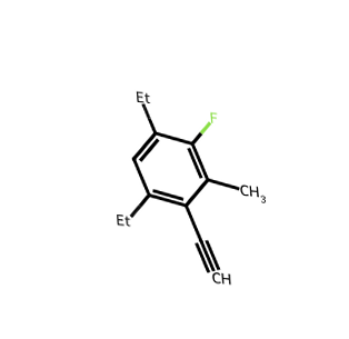 C#Cc1c(CC)cc(CC)c(F)c1C